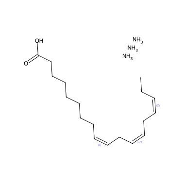 CC/C=C\C/C=C\C/C=C\CCCCCCCC(=O)O.N.N.N